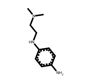 CN(C)CCNc1ccc(N)cc1